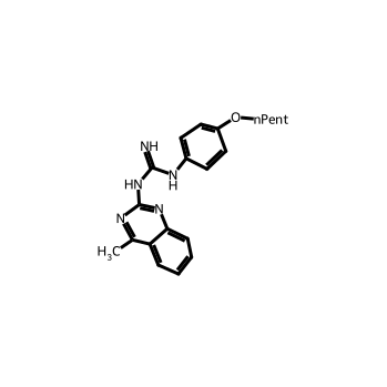 CCCCCOc1ccc(NC(=N)Nc2nc(C)c3ccccc3n2)cc1